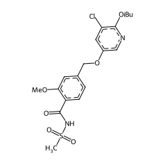 COc1cc(COc2cnc(OCC(C)C)c(Cl)c2)ccc1C(=O)NS(C)(=O)=O